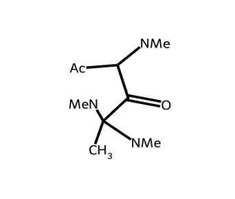 CNC(C(C)=O)C(=O)C(C)(NC)NC